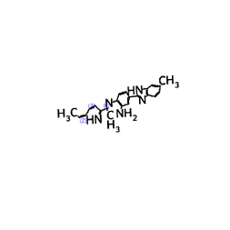 C/C=C\C=C/C(=N)/C(C)=N/c1ccc(-c2nc3ccc(C)cc3[nH]2)cc1N